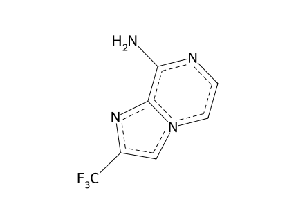 Nc1nccn2cc(C(F)(F)F)nc12